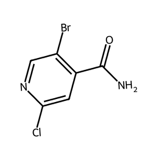 NC(=O)c1cc(Cl)ncc1Br